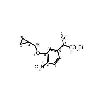 CCOC(=O)C(C(C)=O)c1ccc([N+](=O)[O-])c(OCC2CC2)c1